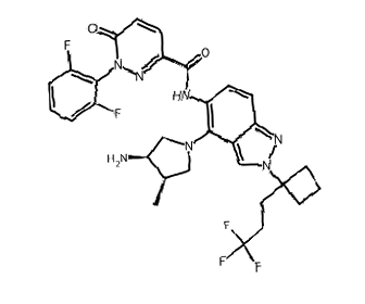 C[C@@H]1CN(c2c(NC(=O)c3ccc(=O)n(-c4c(F)cccc4F)n3)ccc3nn(C4(CCC(F)(F)F)CCC4)cc23)C[C@@H]1N